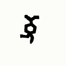 O=C(O)C1CCC(CF)(CF)CC1